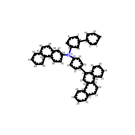 c1ccc(-c2cccc(N(c3ccc(-c4cc5c6ccccc6ccc5c5ccccc45)cc3)c3ccc4c(ccc5ccccc54)c3)c2)cc1